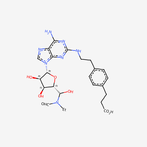 CCN(C=O)C(O)[C@H]1O[C@@H](n2cnc3c(N)nc(NCCc4ccc(CCC(=O)O)cc4)nc32)[C@H](O)[C@@H]1O